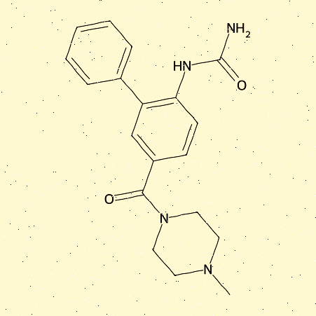 CN1CCN(C(=O)c2ccc(NC(N)=O)c(-c3ccccc3)c2)CC1